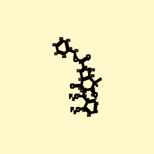 Cn1c(=O)n(C(c2ccccc2C(F)(F)F)C(F)(F)F)c(=O)c2cc(C(=O)OCc3ccccc3)sc21